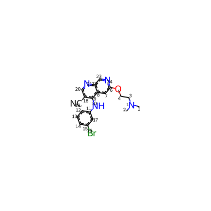 CN(C)CCOc1cc2c(Nc3cccc(Br)c3)c(C#N)cnc2cn1